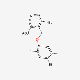 CCc1cc(C)c(OCc2c(CC)cccc2OC(C)=O)cc1C